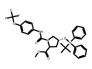 COC(=O)C1C[C@@H](O[Si](c2ccccc2)(c2ccccc2)C(C)(C)C)CN1C(=O)Nc1ccc(OC(F)(F)F)cc1